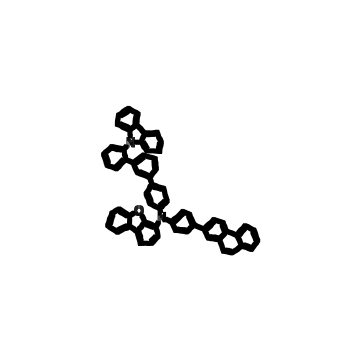 c1cc(-c2ccc(N(c3ccc(-c4ccc5c(ccc6ccccc65)c4)cc3)c3cccc4c3oc3ccccc34)cc2)cc(-c2ccccc2-n2c3ccccc3c3ccccc32)c1